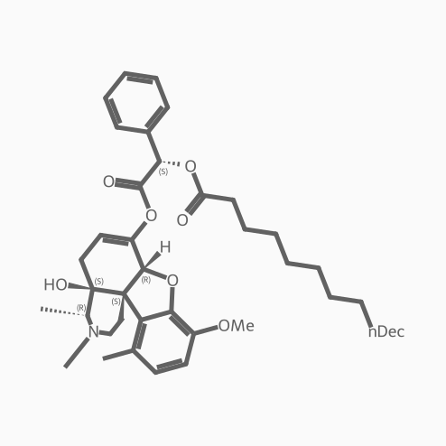 CCCCCCCCCCCCCCCCCC(=O)O[C@H](C(=O)OC1=CC[C@@]2(O)[C@@H](C)N(C)CC[C@@]23c2c(C)ccc(OC)c2O[C@@H]13)c1ccccc1